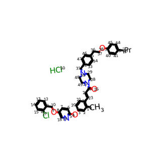 Cc1cc(Oc2ccc(OCc3ccccc3Cl)cn2)ccc1C=CC(=O)N1CCN(Cc2ccc(CCOc3ccc(C(C)C)cc3)cc2)CC1.Cl